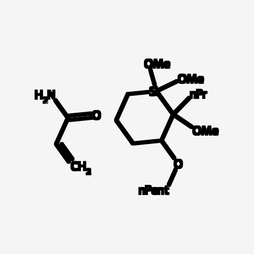 C=CC(N)=O.CCCCCOC1CCC[Si](OC)(OC)C1(CCC)OC